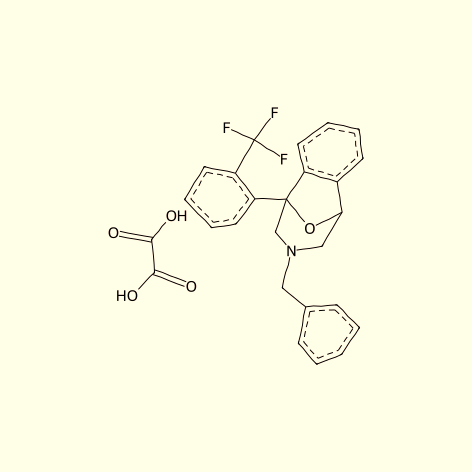 FC(F)(F)c1ccccc1C12CN(Cc3ccccc3)CC(O1)c1ccccc12.O=C(O)C(=O)O